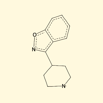 c1ccc2c(C3CC[N]CC3)noc2c1